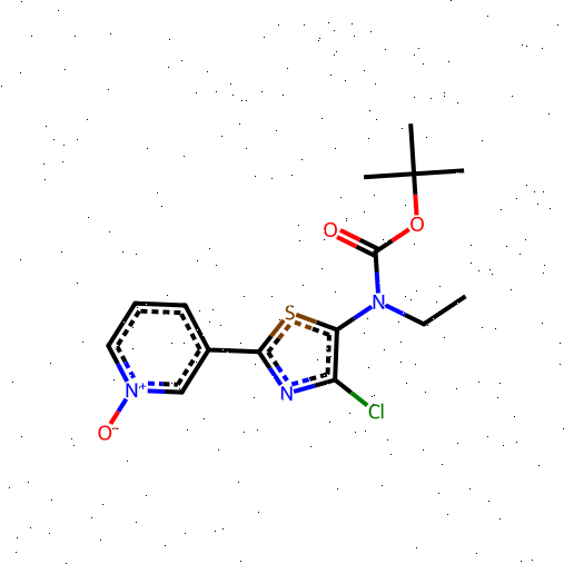 CCN(C(=O)OC(C)(C)C)c1sc(-c2ccc[n+]([O-])c2)nc1Cl